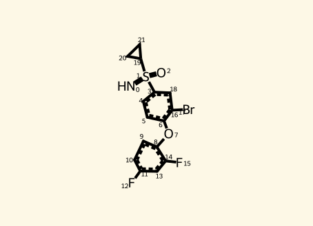 N=S(=O)(c1ccc(Oc2ccc(F)cc2F)c(Br)c1)C1CC1